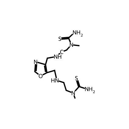 CN(CCNCc1ncoc1CNCCN(C)C(N)=S)C(N)=S